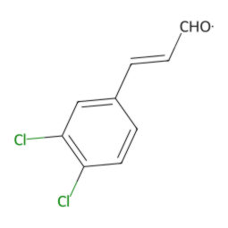 O=[C]/C=C/c1ccc(Cl)c(Cl)c1